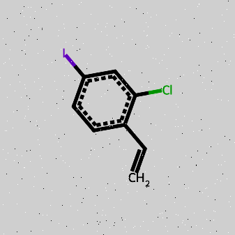 C=Cc1ccc(I)cc1Cl